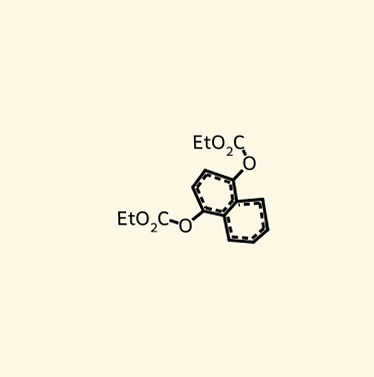 CCOC(=O)Oc1ccc(OC(=O)OCC)c2ccccc12